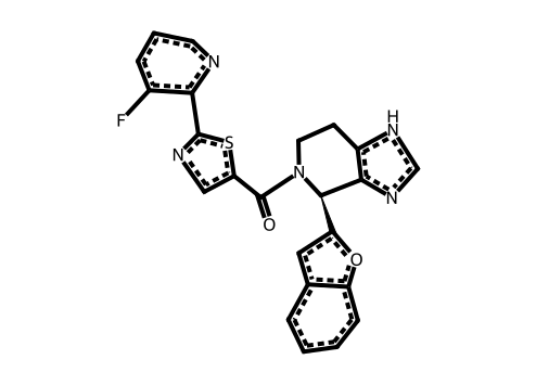 O=C(c1cnc(-c2ncccc2F)s1)N1CCc2[nH]cnc2[C@H]1c1cc2ccccc2o1